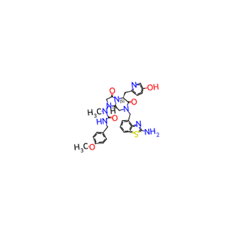 COc1ccc(CNC(=O)N(C)N2CC(=O)N3[C@@H](Cc4ccc(O)cn4)C(=O)N(Cc4cccc5sc(N)nc45)C[C@@H]32)cc1